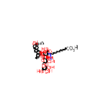 C[C@H]1O[C@@H](OC2C(O)[C@@H](NC(=O)CCCCCCCCCCC(=O)O)C(CO)O[C@H]2OC(=O)[C@]23CCC(C)(C)CC2C2=CCC4C5(C)CC[C@H](O)[C@](C)(C=O)[C@@H]5CC[C@]4(C)[C@]2(C)CC3O)C(O)C(O)[C@H]1O[C@@H]1OC[C@@H](O)C(O)C1O